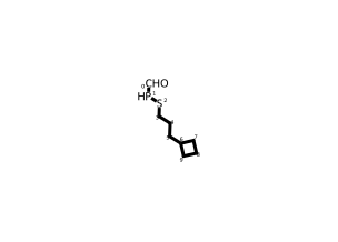 O=CPSCCCC1CCC1